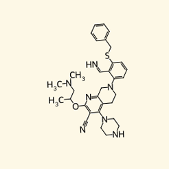 CC(CN(C)C)Oc1nc2c(c(N3CCNCC3)c1C#N)CCN(c1cccc(SCc3ccccc3)c1C=N)C2